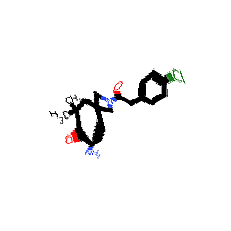 CC1(C)CC2(C=C(N)C1=O)CN(C(=O)Cc1ccc(Cl)cc1)C2